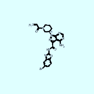 C=CC(=O)N1CCC[C@@H](n2nc(C(=O)Nc3nc4cc(Br)ccc4o3)c3c(N)ncnc32)C1